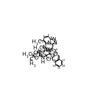 Cc1ccc2nnc([C@@H](COCc3ccccc3)NC(=O)C(C)(C)NC(=O)OC(C)(C)C)n2c1N(C)C